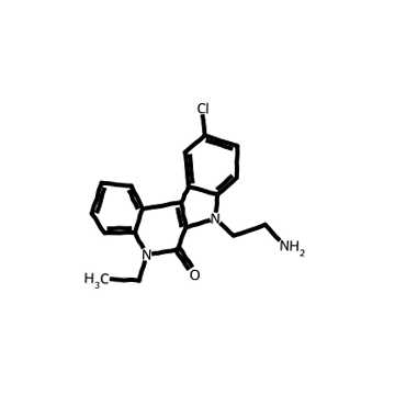 CCn1c(=O)c2c(c3ccccc31)c1cc(Cl)ccc1n2CCN